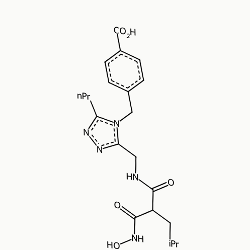 CCCc1nnc(CNC(=O)C(CC(C)C)C(=O)NO)n1Cc1ccc(C(=O)O)cc1